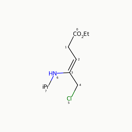 CCOC(=O)C/C=C(/CCl)NC(C)C